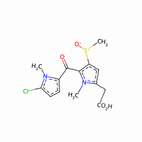 Cn1c(Cl)ccc1C(=O)c1c([S+](C)[O-])cc(CC(=O)O)n1C